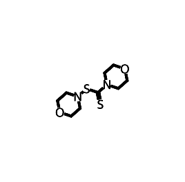 S=C(SN1CCOCC1)N1CCOCC1